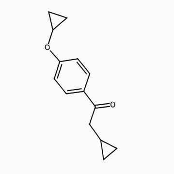 O=C(CC1CC1)c1ccc(OC2CC2)cc1